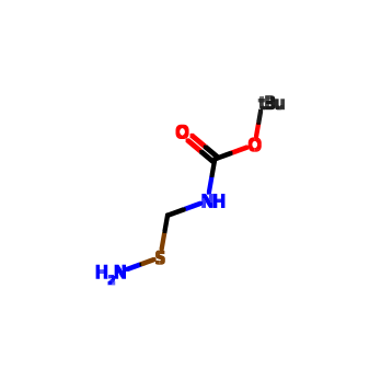 CC(C)(C)OC(=O)NCSN